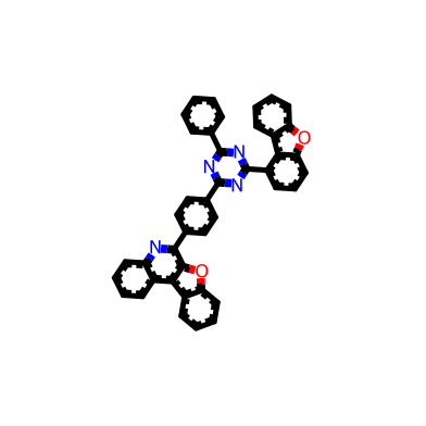 c1ccc(-c2nc(-c3ccc(-c4nc5ccccc5c5c4oc4ccccc45)cc3)nc(-c3cccc4oc5ccccc5c34)n2)cc1